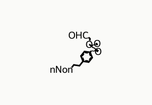 CCCCCCCCCCCc1ccc(S(=O)(=O)OCC=O)cc1